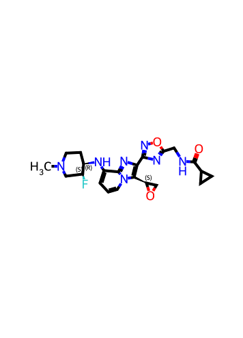 CN1CC[C@@H](Nc2cccn3c([C@H]4CO4)c(-c4noc(CNC(=O)C5CC5)n4)nc23)[C@@H](F)C1